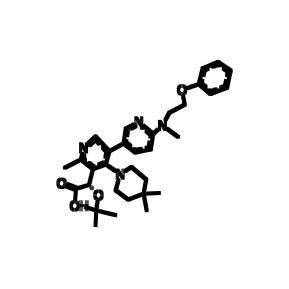 Cc1ncc(-c2ccc(N(C)CCOc3ccccc3)nc2)c(N2CCC(C)(C)CC2)c1[C@H](OC(C)(C)C)C(=O)O